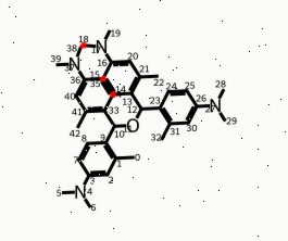 Cc1cc(N(C)C)ccc1C(OC(c1ccc(N(C)C)cc1C)c1ccc(N(C)C)cc1C)c1ccc(N(C)C)cc1C